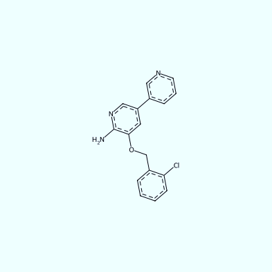 Nc1ncc(-c2cccnc2)cc1OCc1ccccc1Cl